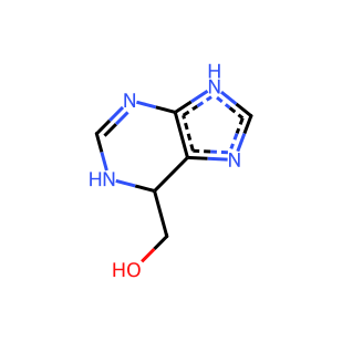 OCC1NC=Nc2[nH]cnc21